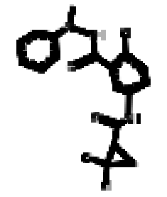 CN(NC(=O)c1cc(NC(=O)C2CC2(Cl)Cl)ccc1Cl)c1ccccc1